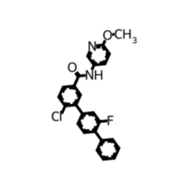 COc1ccc(NC(=O)c2ccc(Cl)c(-c3ccc(-c4ccccc4)c(F)c3)c2)cn1